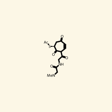 CNCC(=O)NCC(=O)[C]1C#CC(=O)C[C@H](SC(C)=O)C1=O